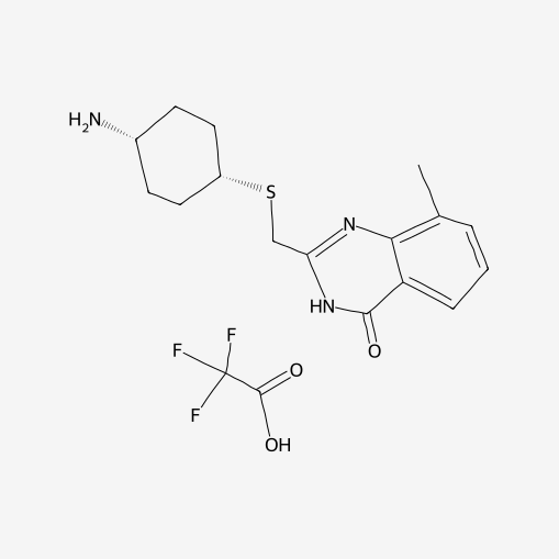 Cc1cccc2c(=O)[nH]c(CS[C@H]3CC[C@@H](N)CC3)nc12.O=C(O)C(F)(F)F